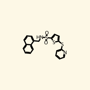 O=S(=O)(NCc1cccc2ccccc12)c1ccc(Sc2ccccn2)s1